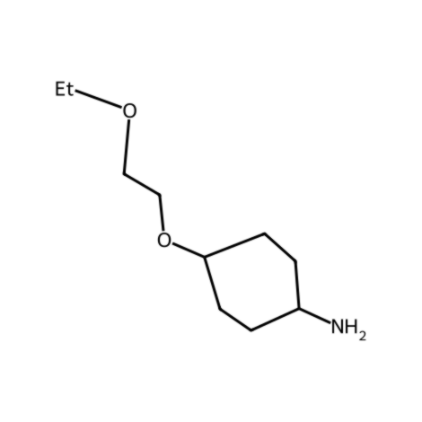 CCOCCOC1CCC(N)CC1